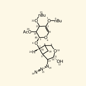 CCCCOC1=CO[C@@H](O[C@@H]2C3CO[C@H](O)C(N=[N+]=[N-])C2C3)C(OC(C)=O)C1OCCCC